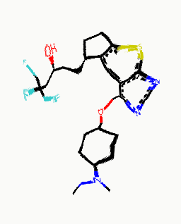 CN(C)C1CCC(Oc2ncnc3sc4c(c23)[C@@H](C[C@H](O)C(F)(F)F)CC4)CC1